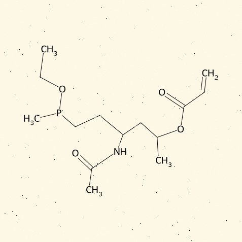 C=CC(=O)OC(C)CC(CCP(C)OCC)NC(C)=O